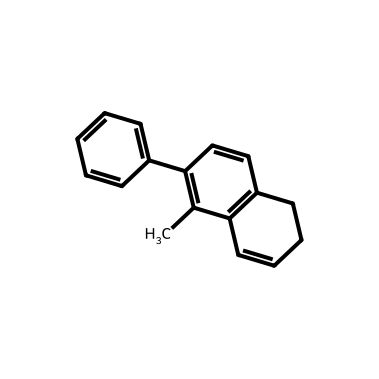 Cc1c(-c2ccccc2)ccc2c1C=CCC2